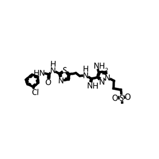 CS(=O)(=O)CCCn1cc(N)c(C(=N)NCCc2cnc(NC(=O)Nc3cccc(Cl)c3)s2)n1